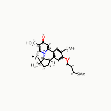 COc1cc2c(cc1OCCCSC)[C@H]1CCC(C)(C)C1n1cc(C(=O)O)c(=O)cc1-2